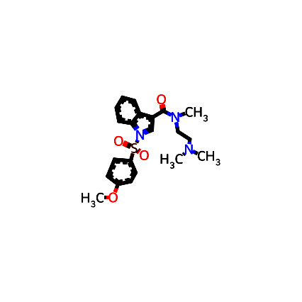 COc1ccc(S(=O)(=O)n2cc(C(=O)N(C)CCN(C)C)c3ccccc32)cc1